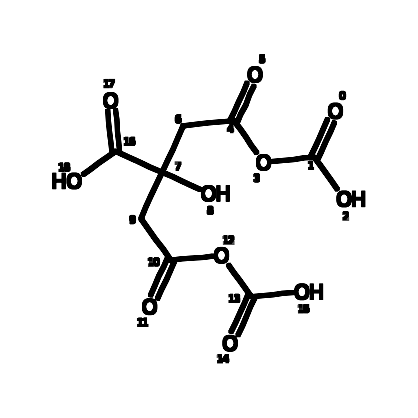 O=C(O)OC(=O)CC(O)(CC(=O)OC(=O)O)C(=O)O